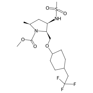 COC(=O)N1[C@H](COC2CCC(CC(F)(F)F)CC2)[C@H](NS(C)(=O)=O)C[C@@H]1C